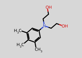 Cc1cc(N(CCO)CCO)cc(C)c1C